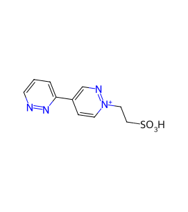 O=S(=O)(O)CC[n+]1ccc(-c2cccnn2)cn1